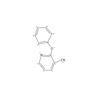 N#Cc1cccnc1Oc1[c]cccc1